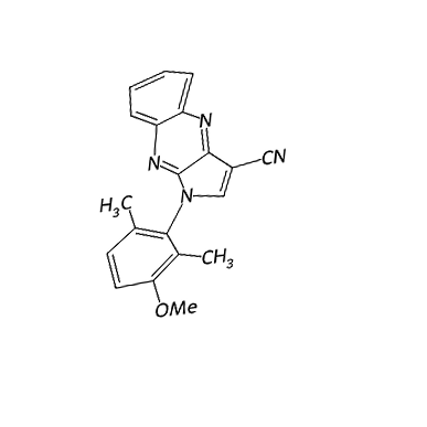 COc1ccc(C)c(-n2cc(C#N)c3nc4ccccc4nc32)c1C